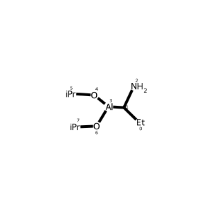 CC[CH](N)[Al]([O]C(C)C)[O]C(C)C